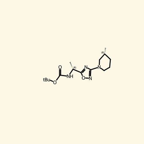 C[C@@H]1CCCN(c2noc([C@@H](C)NC(=O)OC(C)(C)C)n2)C1